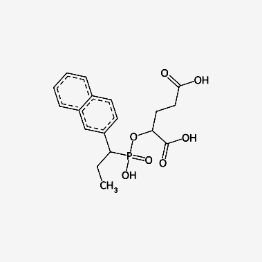 CCC(c1ccc2ccccc2c1)P(=O)(O)OC(CCC(=O)O)C(=O)O